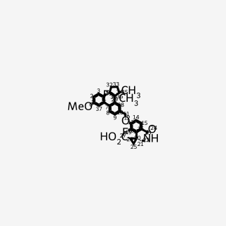 COc1ccc(F)c(-c2ccc(COc3ccc4c(c3F)[C@@]3(CNC4=O)C[C@H]3C(=O)O)cc2C2=CCCC2(C)C)c1